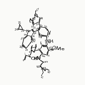 C=CC(=O)Nc1cc(Nc2ncc(-c3cnn(C)c3)c(-c3cn(C4CC4)c4ccccc34)n2)c(OC)cc1N(C)CCN(C)C